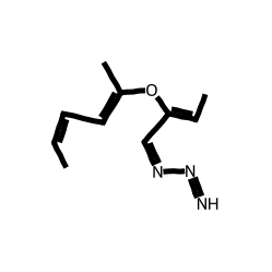 C/C=C\C=C(/C)OC(/C=N\N=N)=C\C